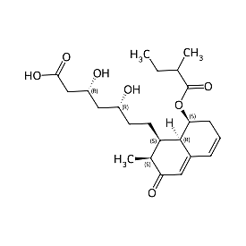 CCC(C)C(=O)O[C@H]1CC=CC2=CC(=O)[C@@H](C)[C@@H](CC[C@@H](O)C[C@@H](O)CC(=O)O)[C@H]21